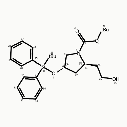 CC(C)(C)OC(=O)N1C[C@@H](O[Si](c2ccccc2)(c2ccccc2)C(C)(C)C)C[C@@H]1CCO